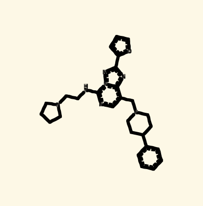 c1ccc(C2CCN(Cc3cnc(NCCN4CCCC4)n4nc(-c5ccco5)nc34)CC2)cc1